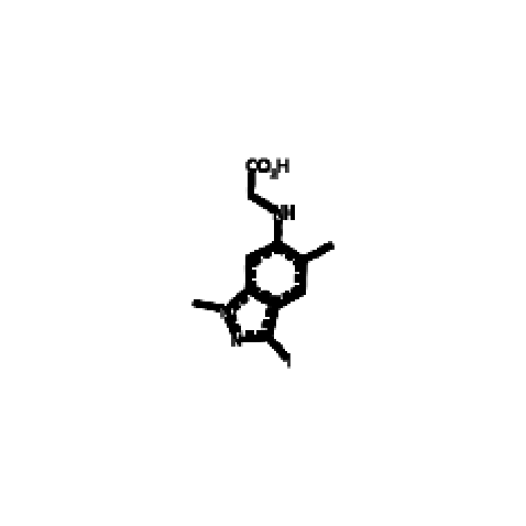 Cc1cc2c(I)nn(C)c2cc1NCC(=O)O